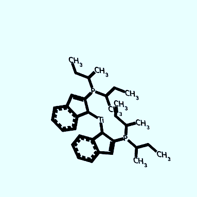 CCC(C)P(C1=Cc2ccccc2[CH]1[Ti][CH]1C(P(C(C)CC)C(C)CC)=Cc2ccccc21)C(C)CC